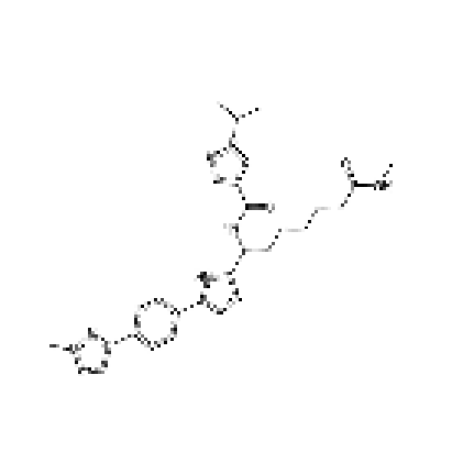 CNC(=O)CCCCCC(NC(=O)c1cnn(C(C)C)c1)c1ncc(-c2ccc(-c3ccn(C)n3)cc2)[nH]1